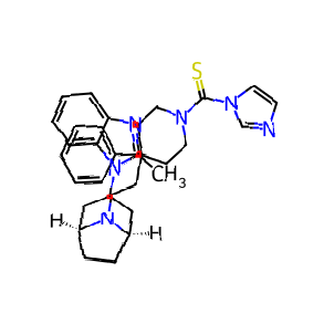 Cc1nc2ccccc2n1C1C[C@H]2CC[C@@H](C1)N2CCC1(c2ccccc2)CCN(C(=S)n2ccnc2)CC1